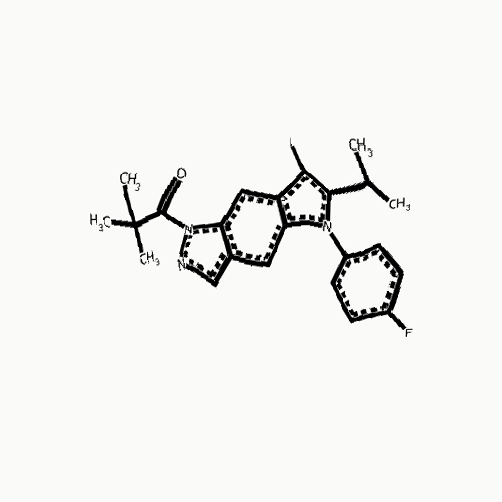 CC(C)c1c(I)c2cc3c(cnn3C(=O)C(C)(C)C)cc2n1-c1ccc(F)cc1